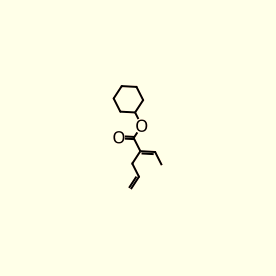 C=CCC(=CC)C(=O)OC1CCCCC1